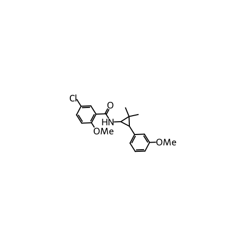 COc1cccc(C2C(NC(=O)c3cc(Cl)ccc3OC)C2(C)C)c1